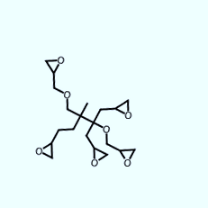 CC(CCC1CO1)(COCC1CO1)C(CC1CO1)(CC1CO1)OCC1CO1